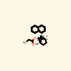 CC(=O)CC(=O)O[C@H]1[C@@H]2CC[C@](C)([C@H]1c1cccc3ccccc13)C2(C)C